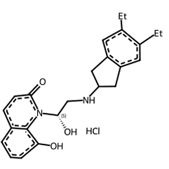 CCc1cc2c(cc1CC)CC(NC[C@H](O)n1c(=O)ccc3cccc(O)c31)C2.Cl